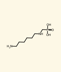 NCCCCCCNCP(=O)(O)O